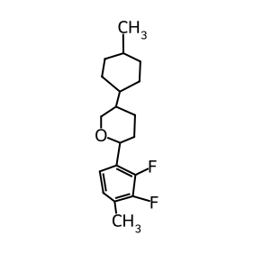 Cc1ccc(C2CCC(C3CCC(C)CC3)CO2)c(F)c1F